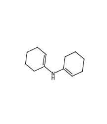 C1=C(NC2=CCCCC2)CCCC1